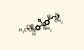 CC(C)OC(=O)Nc1ccc(-c2c(N)c3ccc([S+]([O-])CCc4nccn4C)cc3n2C2CCC2)cc1